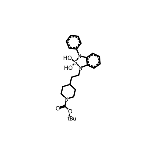 CC(C)(C)OC(=O)N1CCC(CCN2c3ccccc3N(c3ccccc3)S2(O)O)CC1